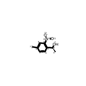 C[C@H](O)c1ccc(I)cc1[N+](=O)[O-]